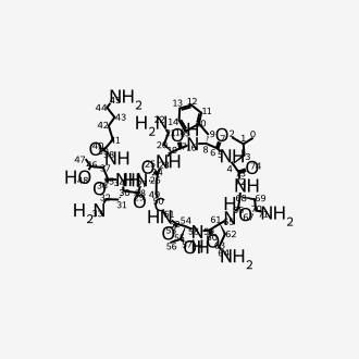 CC(C)C[C@@H]1NC(=O)[C@@H](Cc2ccccc2)NC(=O)[C@H](CCN)NC(=O)[C@@H](NC(=O)[C@H](CCN)NC(=O)[C@@H](NC(=O)CCCCN)C(C)O)CCNC(=O)[C@H](C(C)O)NC(=O)[C@H](CCN)NC(=O)[C@H](CCN)NC1=O